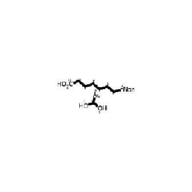 CC(=O)C(O)O.CCCCCCCCCCCCCCCC(=O)O